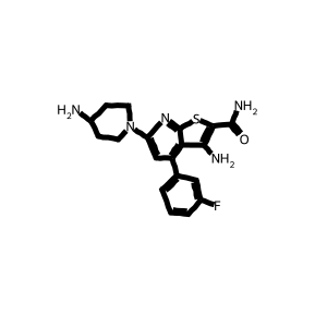 NC(=O)c1sc2nc(N3CCC(N)CC3)cc(-c3cccc(F)c3)c2c1N